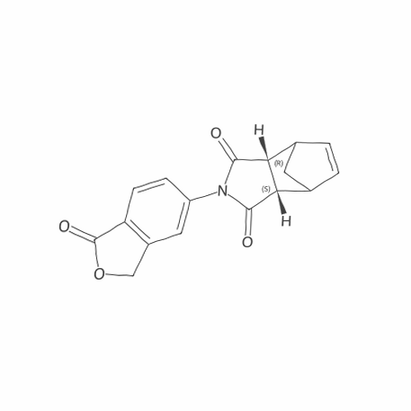 O=C1OCc2cc(N3C(=O)[C@@H]4C5C=CC(C5)[C@@H]4C3=O)ccc21